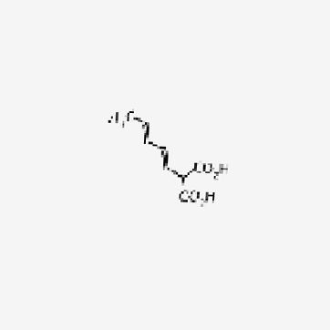 C/C=C/C=C/C(C(=O)O)C(=O)O